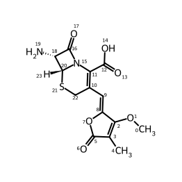 COC1=C(C)C(=O)O/C1=C\C1=C(C(=O)O)N2C(=O)[C@@H](N)[C@H]2SC1